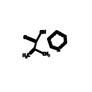 C=C(C)C(=O)O.c1ccncc1